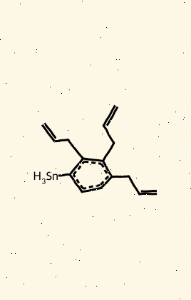 C=CCc1cc[c]([SnH3])c(CC=C)c1CC=C